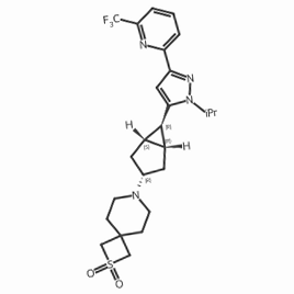 CC(C)n1nc(-c2cccc(C(F)(F)F)n2)cc1[C@H]1[C@@H]2C[C@H](N3CCC4(CC3)CS(=O)(=O)C4)C[C@@H]21